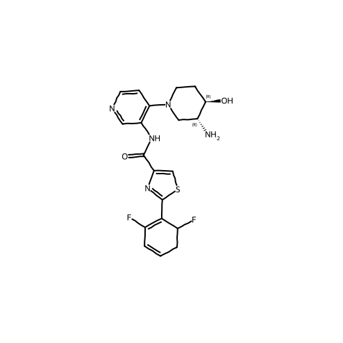 N[C@@H]1CN(c2ccncc2NC(=O)c2csc(C3=C(F)C=CCC3F)n2)CC[C@H]1O